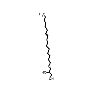 CCCCCCC=CCCCCCCCCOCC(O)CO